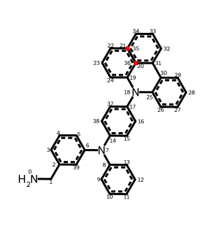 NCc1cccc(N(c2ccccc2)c2ccc(N(c3ccccc3)c3ccccc3-c3ccccc3)cc2)c1